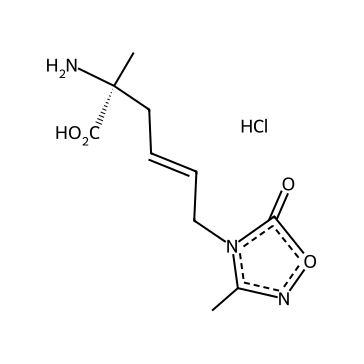 Cc1noc(=O)n1CC=CC[C@](C)(N)C(=O)O.Cl